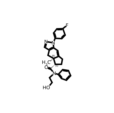 C[C@]12Cc3cnn(-c4ccc(F)cc4)c3C=C1CC[C@@H]2C(=O)N(CCO)c1ccccc1